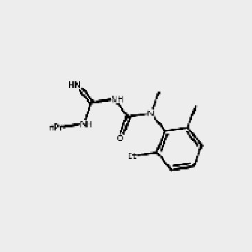 CCCNC(=N)NC(=O)N(C)c1c(C)cccc1CC